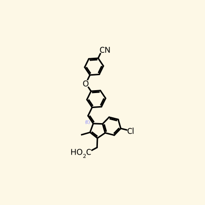 CC1=C(CC(=O)O)c2cc(Cl)ccc2/C1=C\c1cccc(Oc2ccc(C#N)cc2)c1